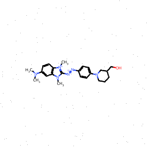 CN(C)c1ccc2c(c1)n(C)c(/N=N/c1ccc(N3CCCC(CO)C3)cc1)[n+]2C